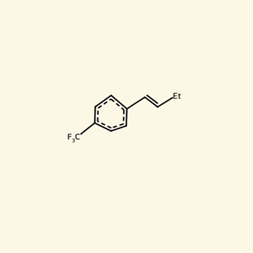 [CH2]C/C=C/c1ccc(C(F)(F)F)cc1